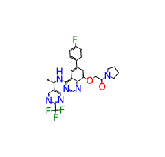 C[C@@H](Nc1ncnc2c(OCC(=O)N3CCCC3)cc(-c3ccc(F)cc3)cc12)c1cnc(C(F)(F)F)nc1